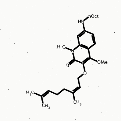 CCCCCCCCNc1ccc2c(OC)c(OCC=C(C)CCC=C(C)C)c(=O)n(C)c2c1